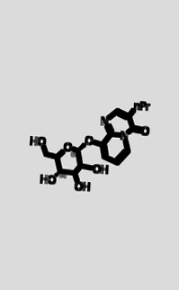 CCCc1cnc2c(O[C@@H]3OC(CO)[C@@H](O)C(O)C3O)cccn2c1=O